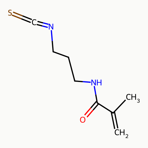 C=C(C)C(=O)NCCCN=C=S